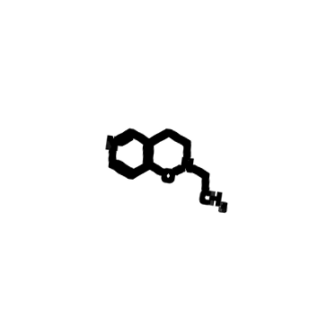 CCN1CCc2cnccc2O1